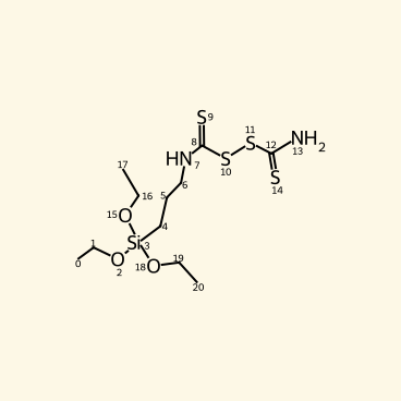 CCO[Si](CCCNC(=S)SSC(N)=S)(OCC)OCC